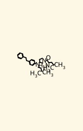 CC(C)CCN(c1ccc(CCc2ccccc2)cc1)C1CCN(C(=O)[C@@H](N)CC(C)C)C1